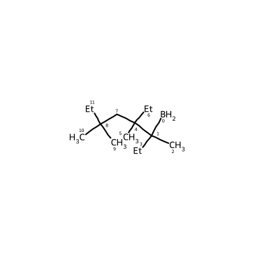 BC(C)(CC)C(C)(CC)CC(C)(C)CC